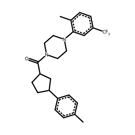 Cc1ccc(C2CCC(C(=O)N3CCN(c4cc(C(F)(F)F)ccc4C)CC3)C2)cc1